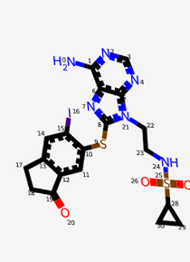 Nc1ncnc2c1nc(Sc1cc3c(cc1I)CCC3=O)n2CCNS(=O)(=O)C1CC1